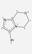 CC(C)c1cnc2n1CCOC2